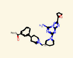 COC(=O)c1cccc(C2CCN(C[C@@H]3CCCN(c4nc(N)n5nc(-c6ccco6)nc5n4)C3)CC2)c1